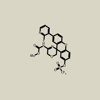 CC(C)(C)OC(=O)NC1=NC2(COC1)c1cc(OS(=O)(=O)C(F)(F)F)ccc1Oc1ccc(-c3cccnc3F)cc12